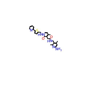 Cc1cc(N)nc(C)c1CNC(=O)Cc1c(C)ccn(NCc2ccc(-c3ccccn3)s2)c1=O